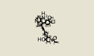 C=CC(=O)N1CC[C@@H](O)[C@H](N2CC(C#Cc3c(-c4ccc(Cl)c(OC)c4)c4c(N)ncnc4n3C)C2)C1